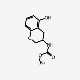 CC(C)(C)OC(=O)NC1COc2cccc(O)c2C1